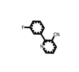 N#Cc1cccnc1-c1cccc(F)c1